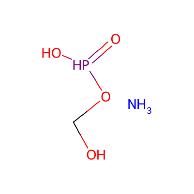 N.O=[PH](O)OCO